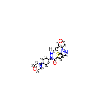 CC1COCCC1n1ncc2cc(C(=O)N[C@H]3CC[C@H](N4CCOCC4)CC3)sc21